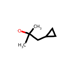 CC(C)([O])CC1CC1